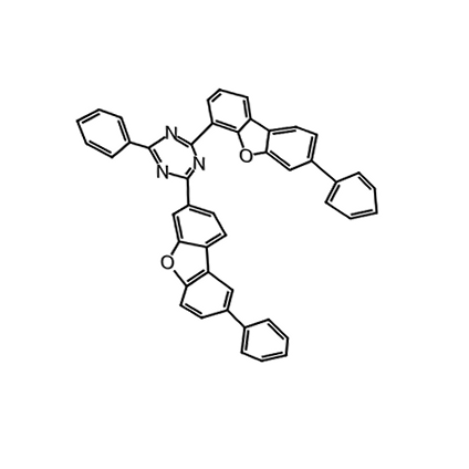 c1ccc(-c2ccc3c(c2)oc2c(-c4nc(-c5ccccc5)nc(-c5ccc6c(c5)oc5ccc(-c7ccccc7)cc56)n4)cccc23)cc1